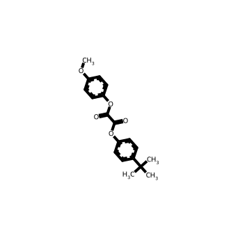 COc1ccc(OC(=O)C(=O)Oc2ccc(C(C)(C)C)cc2)cc1